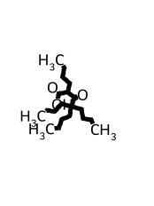 CCCCC(C(=O)O)C(=O)C(CCCC)(CCCC)CCCC